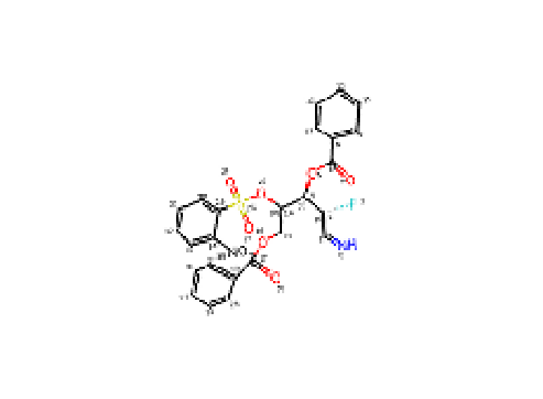 N=C[C@@H](F)[C@H](OC(=O)c1ccccc1)[C@@H](COC(=O)c1ccccc1)OS(=O)(=O)c1ccccc1[N+](=O)[O-]